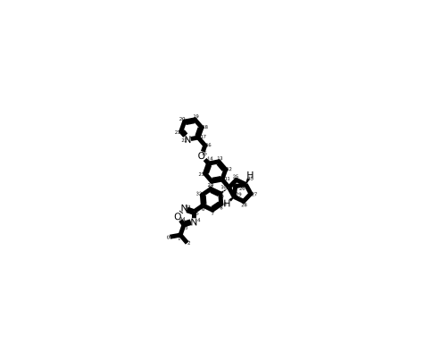 CC(C)c1nc(-c2ccc([C@]3(c4ccc(OCc5ccccn5)cc4)C[C@@H]4CC[C@H]3C4)cc2)no1